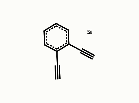 C#Cc1ccccc1C#C.[Si]